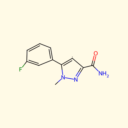 Cn1nc(C(N)=O)[c]c1-c1cccc(F)c1